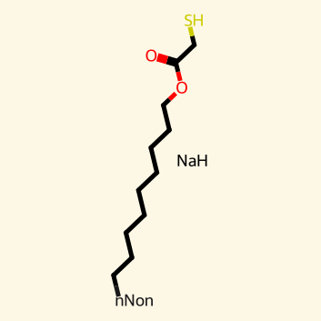 CCCCCCCCCCCCCCCCCCOC(=O)CS.[NaH]